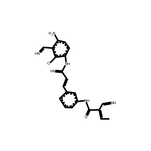 C/C=C(\C=N)C(=O)Nc1cccc(/C=C/C(=N)Nc2ccc(N)c(C=N)c2Cl)c1